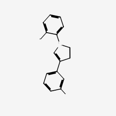 O=C(O)c1cccc(C2=CN(c3ccccc3Cl)CC2)c1